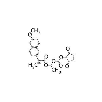 COc1ccc2cc([C@H](C)C(=O)OC(C)OC(=O)OC3C(=O)CCC3=O)ccc2c1